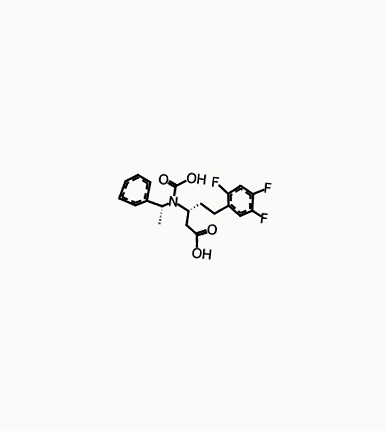 C[C@H](c1ccccc1)N(C(=O)O)[C@H](CCc1cc(F)c(F)cc1F)CC(=O)O